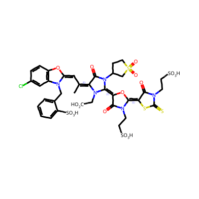 C/C(C=C1Oc2ccc(Cl)cc2N1Cc1ccccc1S(=O)(=O)O)=c1/c(=O)n(C2CCS(=O)(=O)C2)/c(=c2\o/c(=C3/SC(=S)N(CCS(=O)(=O)O)C3=O)n(CCS(=O)(=O)O)c2=O)n1CC(=O)O